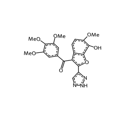 COc1cc(C(=O)c2c(-c3cn[nH]n3)oc3c(O)c(OC)ccc23)cc(OC)c1OC